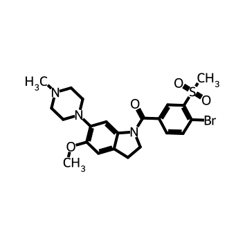 COc1cc2c(cc1N1CCN(C)CC1)N(C(=O)c1ccc(Br)c(S(C)(=O)=O)c1)CC2